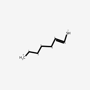 CCCCCC=CS